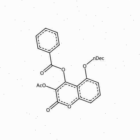 CCCCCCCCCCOc1cccc2oc(=O)c(OC(C)=O)c(OC(=O)c3ccccc3)c12